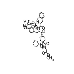 COC(=O)CNC(=O)C1(NC2=CC=CCC2)CCN(C(=O)[C@@H](Cc2ccc(Cl)cc2)NC(=O)[C@H]2Cc3ccccc3CN2C(=O)OC(C)(C)C)CC1